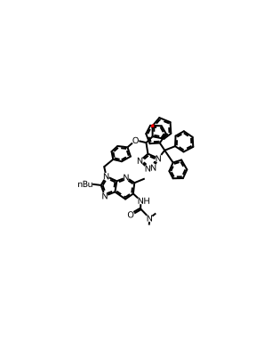 CCCCc1nc2cc(NC(=O)N(C)C)c(C)nc2n1Cc1ccc(OC(c2ccccc2)c2nnnn2C(c2ccccc2)(c2ccccc2)c2ccccc2)cc1